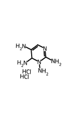 Cl.Cl.NC1=CN=C(N)N(N)C1N